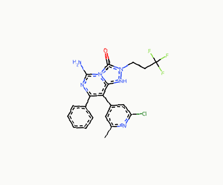 Cc1cc(-c2c(-c3ccccc3)nc(N)[n+]3c(=O)n(CCC(F)(F)F)[nH]c23)cc(Cl)n1